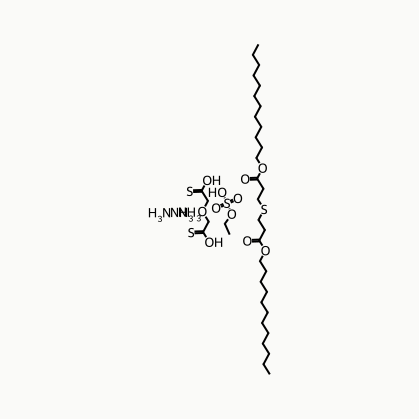 CCCCCCCCCCCCOC(=O)CCSCCC(=O)OCCCCCCCCCCCC.CCOS(=O)(=O)O.N.N.N.OC(=S)COCC(O)=S